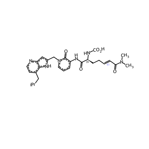 CC(C)Cc1ccnc2cc(Cn3cccc(NC(=O)[C@H](CC/C=C/C(=O)N(C)C)NC(=O)O)c3=O)[nH]c12